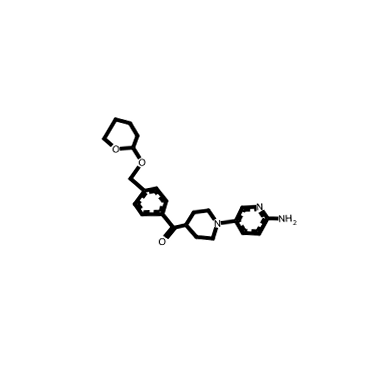 Nc1ccc(N2CCC(C(=O)c3ccc(COC4CCCCO4)cc3)CC2)cn1